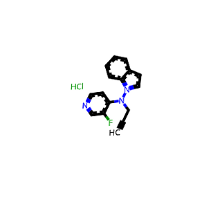 C#CCN(c1ccncc1F)n1ccc2ccccc21.Cl